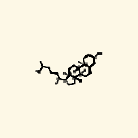 CC([14CH3])CCC[C@@H](C)[C@H]1CC[C@H]2[C@@H]3CC=C4C[C@@H](O)CC[C@]4(C)[C@H]3CC[C@]12C